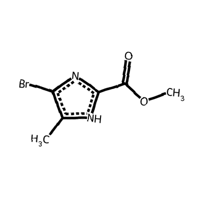 COC(=O)c1nc(Br)c(C)[nH]1